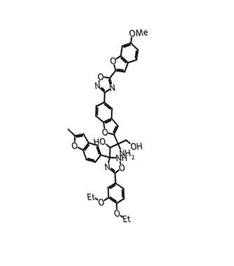 CCOc1ccc(C2=NC(c3ccc4oc(C)cc4c3)(C(O)C(N)(CO)c3cc4cc(-c5noc(-c6cc7ccc(OC)cc7o6)n5)ccc4o3)NO2)cc1OCC